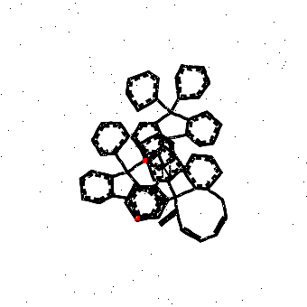 C=C1/C=C\C=C/Cc2cccc(N(c3cccc4c3-c3ccccc3C4(c3ccccc3)c3ccccc3)c3cccc4c3C(c3ccccc3)(c3ccccc3)c3ccccc3-4)c2C1(c1ccccc1)c1ccccc1